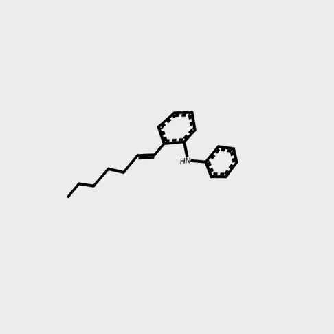 CCCCCC=Cc1ccccc1Nc1ccccc1